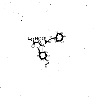 COC(=O)[C@@H](O)[C@@H](Cc1ccc(SC)cc1)NC(=O)OCc1ccccc1